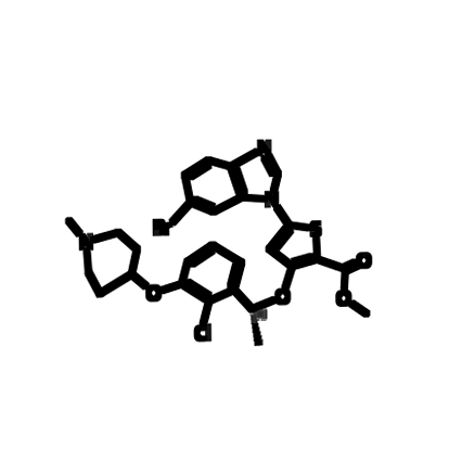 COC(=O)c1sc(-n2cnc3ccc(Br)cc32)cc1O[C@H](C)c1cccc(OC2CCN(C)CC2)c1Cl